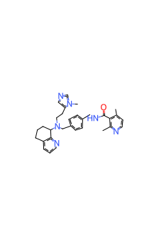 Cc1ccnc(C)c1C(=O)NCc1ccc(CN(CCc2cncn2C)C2CCCc3cccnc32)cc1